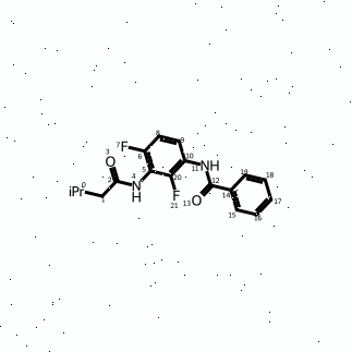 CC(C)CC(=O)Nc1c(F)ccc(NC(=O)c2ccccc2)c1F